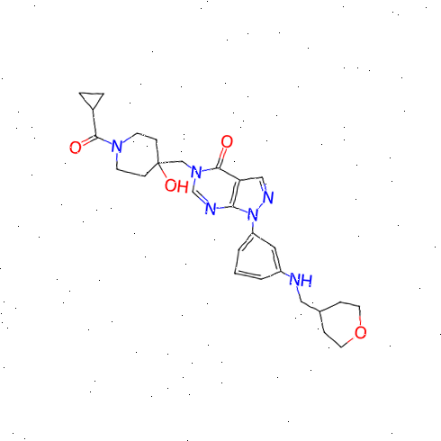 O=C(C1CC1)N1CCC(O)(Cn2cnc3c(cnn3-c3cccc(NCC4CCOCC4)c3)c2=O)CC1